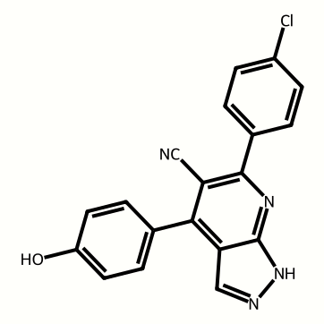 N#Cc1c(-c2ccc(Cl)cc2)nc2[nH]ncc2c1-c1ccc(O)cc1